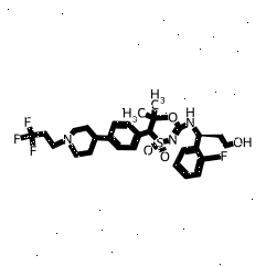 CC1(C)OC(N[C@@H](CCO)c2ccccc2F)=NS(=O)(=O)C1c1ccc(C2CCN(CCC(F)(F)F)CC2)cc1